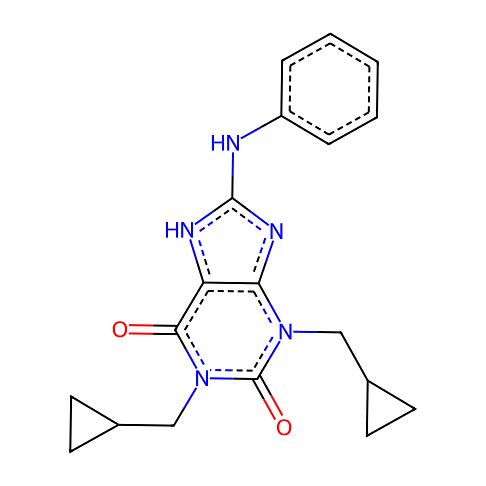 O=c1c2[nH]c(Nc3ccccc3)nc2n(CC2CC2)c(=O)n1CC1CC1